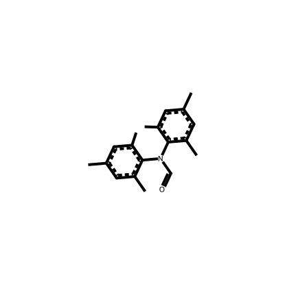 Cc1cc(C)c(N(C=O)c2c(C)cc(C)cc2C)c(C)c1